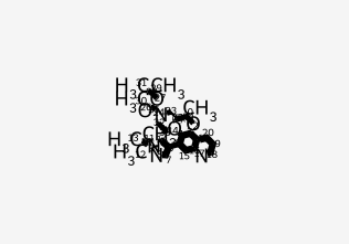 C[C@H](Oc1cc(-c2cnn(C(C)(C)C)c2)cc2ncccc12)[C@@H]1CN(C(=O)OC(C)(C)C)CCO1